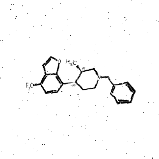 C[C@H]1CN(Cc2ccccc2)CC[C@H]1c1ccc(C(F)(F)F)c2ccoc12